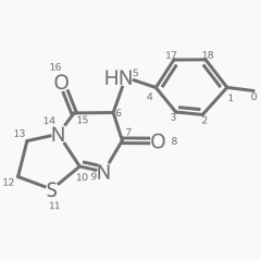 Cc1ccc(NC2C(=O)N=C3SCCN3C2=O)cc1